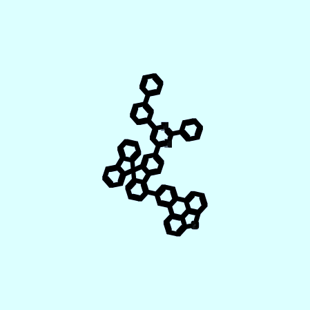 c1ccc(-c2cccc(-c3cc(-c4ccc5c(c4)C4(c6ccccc6-c6ccccc64)c4cccc(-c6ccc7c(c6)c6cccc8oc9cccc7c9c86)c4-5)nc(-c4ccccc4)n3)c2)cc1